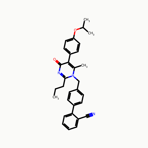 CCCc1nc(=O)c(-c2ccc(OC(C)C)cc2)c(C)n1Cc1ccc(-c2ccccc2C#N)cc1